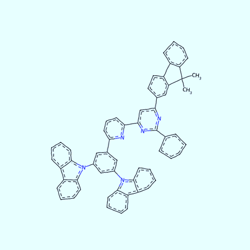 CC1(C)c2ccccc2-c2ccc(-c3cc(-c4cccc(-c5cc(-n6c7ccccc7c7ccccc76)cc(-n6c7ccccc7c7ccccc76)c5)n4)nc(-c4ccccc4)n3)cc21